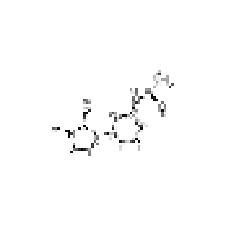 CN1CCN(c2cncc(OC(N)=O)c2)C1=O